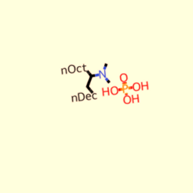 CCCCCCCCCCCC(CCCCCCCC)N(C)C.O=P(O)(O)O